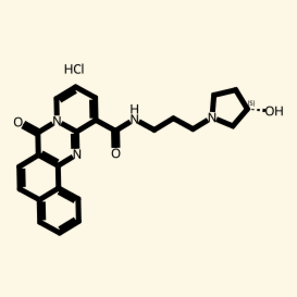 Cl.O=C(NCCCN1CC[C@H](O)C1)c1cccn2c(=O)c3ccc4ccccc4c3nc12